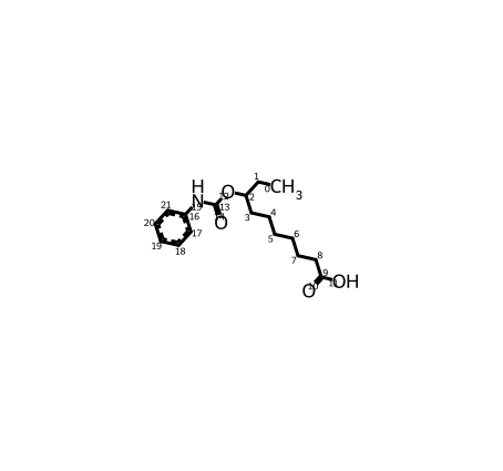 CCC(CCCCCCC(=O)O)OC(=O)Nc1ccccc1